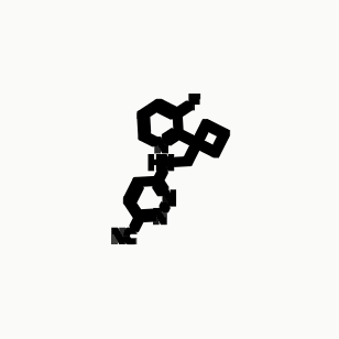 N#Cc1ccc(NCC2(c3ncccc3F)CCC2)nn1